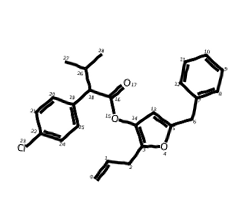 C=CCc1oc(Cc2ccccc2)cc1OC(=O)C(c1ccc(Cl)cc1)C(C)C